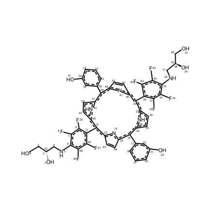 OC[C@@H](O)CNc1c(F)c(F)c(-c2c3nc(c(-c4cccc(O)c4)c4ccc([nH]4)c(-c4c(F)c(F)c(NC[C@H](O)CO)c(F)c4F)c4nc(c(-c5cccc(O)c5)c5ccc2[nH]5)C=C4)C=C3)c(F)c1F